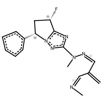 C=C(/C=N\C)/C=N\N(C)c1nc2n(n1)[C@H](c1ccccc1)C[C@@H]2F